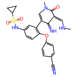 CN/C=C1\C(=N)C(c2cc(NS(=O)(=O)C3CC3)ccc2Oc2ccc(C#N)cc2)=CN(C)C1=O